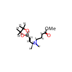 COC(=O)CCCN(C)[C@@H](C)/C=C/B1OC(C)(C)C(C)(C)O1